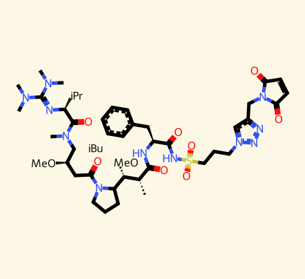 CC[C@H](C)C([C@@H](CC(=O)N1CCCC1[C@H](OC)[C@@H](C)C(=O)N[C@@H](Cc1ccccc1)C(=O)NS(=O)(=O)CCCn1cc(CN2C(=O)C=CC2=O)nn1)OC)N(C)C(=O)[C@@H](N=C(N(C)C)N(C)C)C(C)C